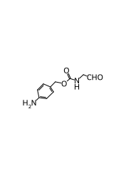 Nc1ccc(COC(=O)NCC=O)cc1